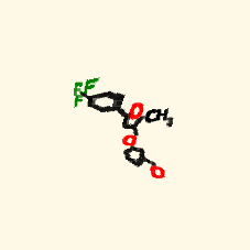 Cc1oc(-c2ccc(C(F)(F)F)cc2)cc1COc1cccc(C=O)c1